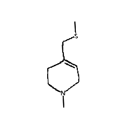 CSCC1=CCN(C)CC1